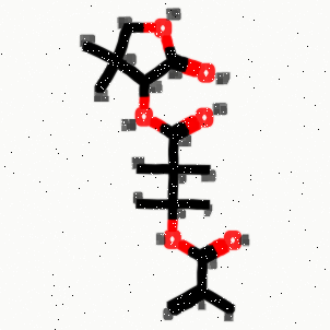 C=C(C)C(=O)OC(C)(C)C(C)(C)C(=O)OC1C(=O)OCC1(C)C